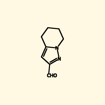 O=Cc1cc2n(n1)CCCC2